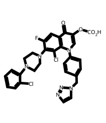 O=C(O)Oc1cn(-c2ccc(Cn3ccnn3)cc2)c2c(Cl)c(N3CCN(c4ccccc4Cl)CC3)c(F)cc2c1=O